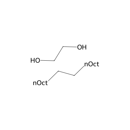 CCCCCCCCCCCCCCCCCC.OCCO